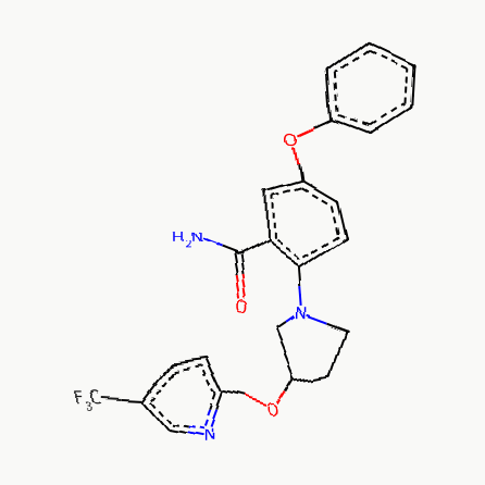 NC(=O)c1cc(Oc2ccccc2)ccc1N1CCC(Oc2ccc(C(F)(F)F)cn2)C1